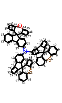 C1=CC2=C(CC1)Sc1ccccc1C21c2ccccc2-c2cc(N(c3ccc4c(c3)-c3ccccc3C43c4ccccc4Oc4ccccc43)c3ccc4c(c3)C3(c5ccccc5Sc5ccccc53)c3ccccc3-4)ccc21